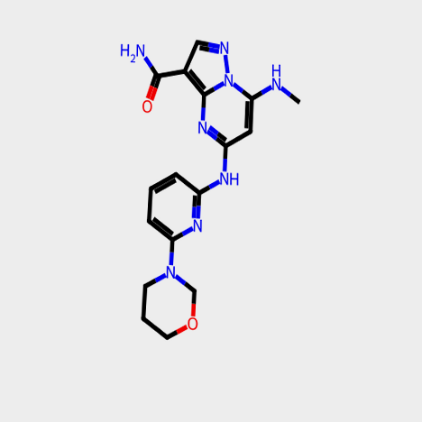 CNc1cc(Nc2cccc(N3CCCOC3)n2)nc2c(C(N)=O)cnn12